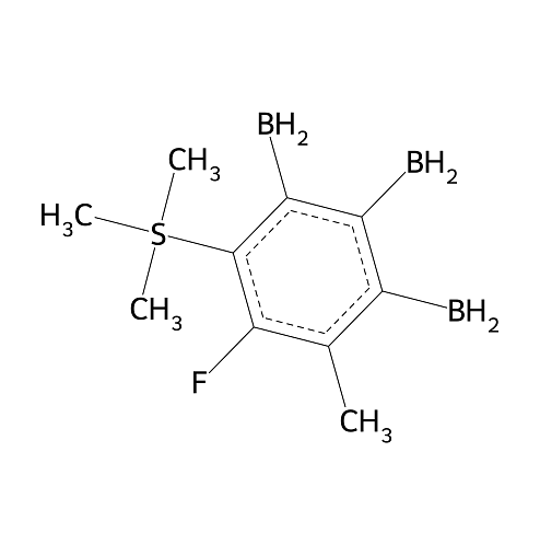 Bc1c(B)c(C)c(F)c(S(C)(C)C)c1B